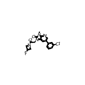 Cn1c(=O)n(CC(=O)N2CC(F)C2)c2cc(-c3cccc(Cl)c3)cnc21